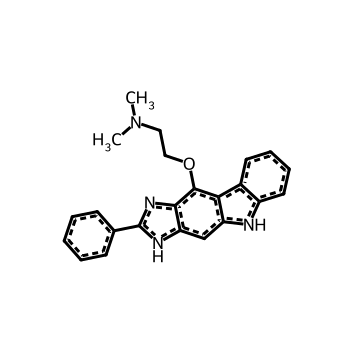 CN(C)CCOc1c2nc(-c3ccccc3)[nH]c2cc2[nH]c3ccccc3c12